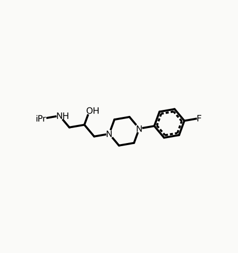 CC(C)NCC(O)CN1CCN(c2ccc(F)cc2)CC1